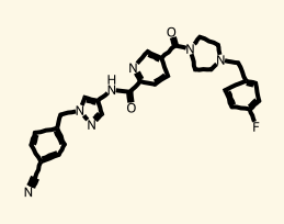 N#Cc1ccc(Cn2cc(NC(=O)c3ccc(C(=O)N4CCN(Cc5ccc(F)cc5)CC4)cn3)cn2)cc1